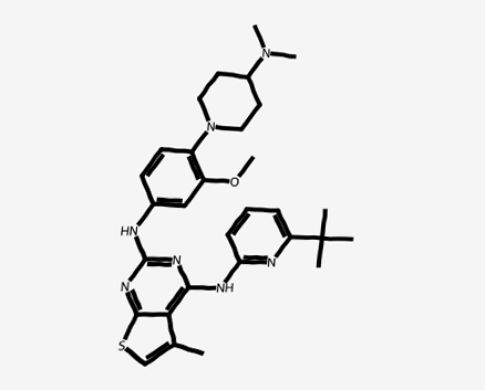 COc1cc(Nc2nc(Nc3cccc(C(C)(C)C)n3)c3c(C)csc3n2)ccc1N1CCC(N(C)C)CC1